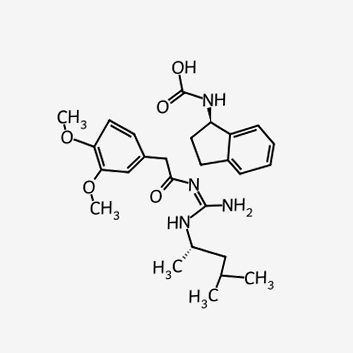 COc1ccc(CC(=O)N=C(N)N[C@@H](C)CC(C)C)cc1OC.O=C(O)N[C@@H]1CCc2ccccc21